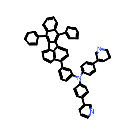 c1ccc(-c2c3c(c(-c4ccccc4)c4ccccc24)-c2ccc(-c4cccc(N(c5ccc(-c6cccnc6)cc5)c5ccc(-c6cccnc6)cc5)c4)c4cccc-3c24)cc1